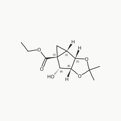 CCOC(=O)[C@@]12C[C@@H]1[C@@H]1OC(C)(C)O[C@@H]1[C@@H]2O